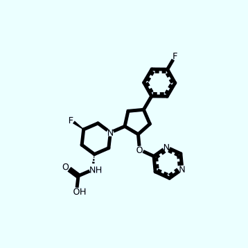 O=C(O)N[C@@H]1C[C@@H](F)CN(C2CC(c3ccc(F)cc3)CC2Oc2ccncn2)C1